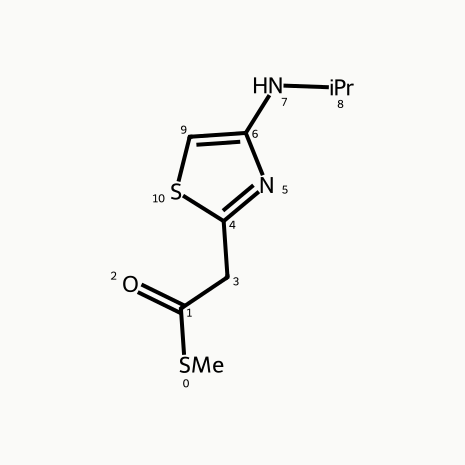 CSC(=O)Cc1nc(NC(C)C)cs1